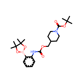 CC(C)(C)OC(=O)N1CCC(COC(=O)Nc2ccccc2B2OC(C)(C)C(C)(C)O2)CC1